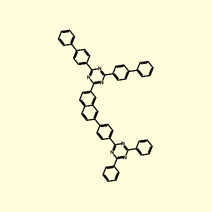 c1ccc(-c2ccc(-c3nc(-c4ccc(-c5ccccc5)cc4)nc(-c4ccc5ccc(-c6ccc(-c7nc(-c8ccccc8)nc(-c8ccccc8)n7)cc6)cc5c4)n3)cc2)cc1